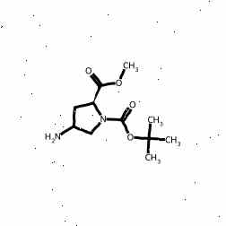 COC(=O)[C@@H]1CC(N)CN1C(=O)OC(C)(C)C